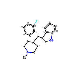 CCN1CCC(CC2CNc3ccccc32)CC1.Fc1ccccc1